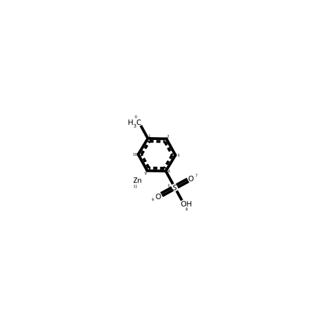 Cc1ccc(S(=O)(=O)O)cc1.[Zn]